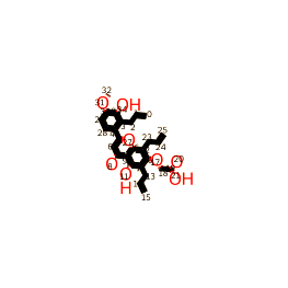 C=CCc1c(-c2cc(=O)c3c(O)c(CC=C)c(OCC(=O)O)c(CC=C)c3o2)ccc(OC)c1O